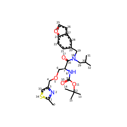 Cc1nc(COC[C@H](NC(=O)OC(C)(C)C)C(=O)N(Cc2ccc3occc3c2)CC(C)C)cs1